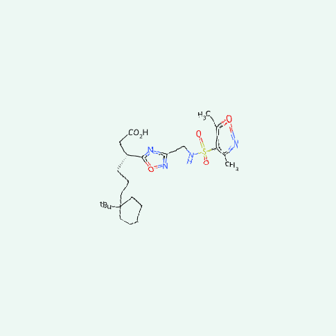 Cc1noc(C)c1S(=O)(=O)NCc1noc([C@H](CCCC2(C(C)(C)C)CCCCC2)CC(=O)O)n1